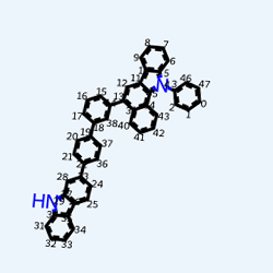 c1ccc(-n2c3ccccc3c3cc(-c4cccc(-c5ccc(-c6ccc7c(c6)[nH]c6ccccc67)cc5)c4)c4ccccc4c32)cc1